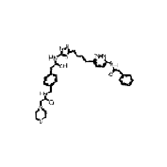 O=C(CN1CCOCC1)NCc1ccc(CC(O)Nc2nnc(CCCCc3ccc(NC(=O)Cc4ccccc4)nn3)s2)cc1